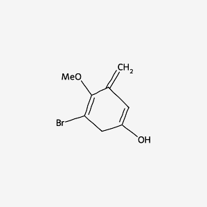 C=C1C=C(O)CC(Br)=C1OC